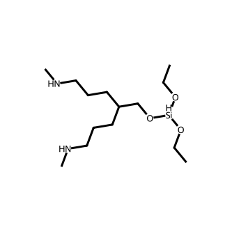 CCO[SiH](OCC)OCC(CCCNC)CCCNC